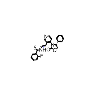 O=C1OC[C@@H](c2ccccc2)N1c1ccncc1/C=[C]/NC(=S)c1ccccc1F